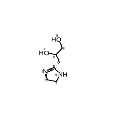 C1=NCCN1.CC(O)CO